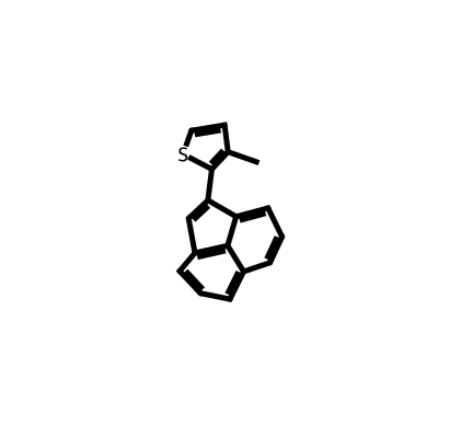 Cc1ccsc1C1=Cc2cccc3cccc1c23